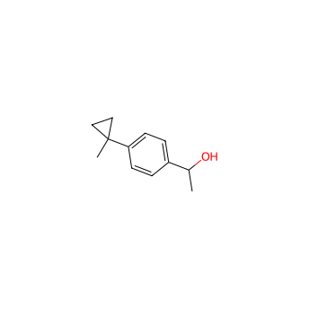 CC(O)c1ccc(C2(C)CC2)cc1